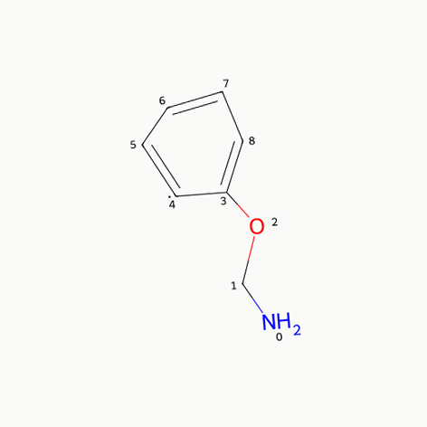 NCOc1[c]cccc1